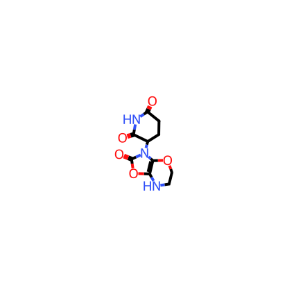 O=C1CCC(n2c3c(oc2=O)NCCO3)C(=O)N1